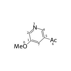 COc1cncc(C(C)=O)c1